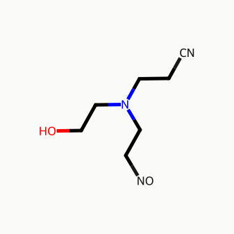 N#CCCN(CCO)CCN=O